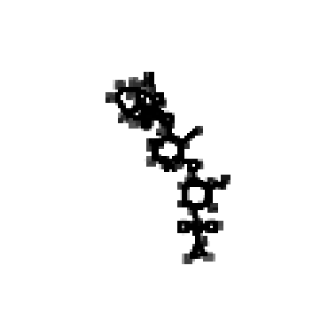 Cc1c(Oc2ccc(S(=O)(=O)C3CC3)cc2F)ncnc1OC1CC2CC[C@@H](C1)N2S(C)(=O)=O